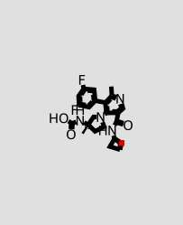 Cc1ncc(C(=O)NC23CC(C2)C3)c(N2CC[C@](C)(NC(=O)O)C2)c1-c1cc(F)cc(F)c1